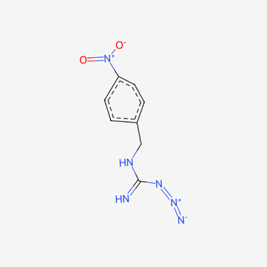 [N-]=[N+]=NC(=N)NCc1ccc([N+](=O)[O-])cc1